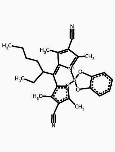 CCCCC(CC)C1=C2C(C)=C(C#N)C(C)=[N+]2[B-]2(Oc3ccccc3O2)n2c(C)c(C#N)c(C)c21